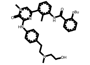 CCCCc1ccccc1C(=O)Nc1cccc(-c2cn(C)c(=O)c(Nc3ccc(CCN(C)CCO)cc3)n2)c1C